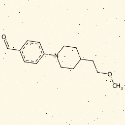 COCCC1CCN(c2ccc(C=O)cc2)CC1